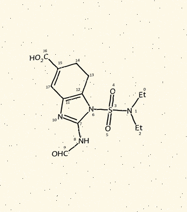 CCN(CC)S(=O)(=O)n1c(NC=O)nc2c1CCC(C(=O)O)=C2